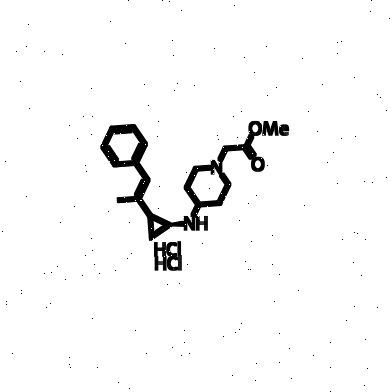 COC(=O)CN1CCC(N[C@H]2CC2C(C)=Cc2ccccc2)CC1.Cl.Cl